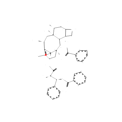 CC(=O)O[C@@H]1C2=C(C)[C@@H](OC(=O)[C@H](O)[C@@H](NC(=O)c3ccccc3)c3ccccc3)C[C@@](O)([C@@H](OC(=O)c3ccccc3)[C@@H]3[C@]4(OC(C)=O)CO[C@@H]4C[C@H](C)[C@@]3(C)[C@H]1C)C2(C)C